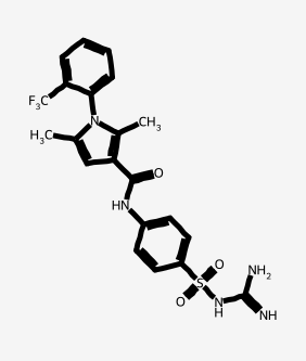 Cc1cc(C(=O)Nc2ccc(S(=O)(=O)NC(=N)N)cc2)c(C)n1-c1ccccc1C(F)(F)F